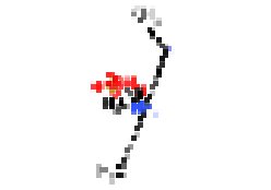 CCCCCCCC/C=C\CCCCCCCCC(CCCCCCCCCCCCCC)C(=O)C(N)[CH](C)[Na].O=S(=O)(O)O